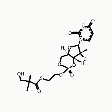 CC(C)(CO)C(=O)SCCOP1(=O)OC[C@H]2O[C@@H](n3ccc(=O)[nH]c3=O)[C@](C)(Cl)[C@@H]2O1